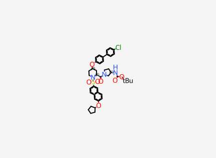 CC(C)(C)OC(=O)N[C@H]1CCN(C(=O)[C@@H]2C[C@H](Oc3ccc(-c4ccc(Cl)cc4)cc3)CCN2S(=O)(=O)c2ccc3cc(OC4CCCC4)ccc3c2)C1